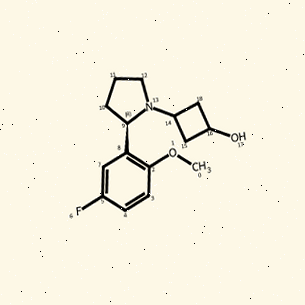 COc1ccc(F)cc1[C@H]1CCCN1[C]1CC(O)C1